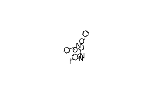 Cn1nc(-c2ccc(OCc3ccccc3)nc2OCc2ccccc2)c2ccc(I)cc21